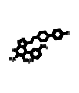 CCOC(=O)C1=C(C)Nc2snc(CCN3CCN(c4ccc(Cl)cc4)CC3)c2C1c1cccc([N+](=O)[O-])c1